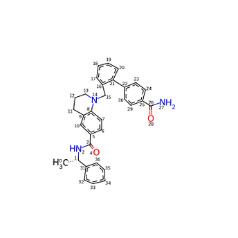 C[C@H](NC(=O)c1ccc2c(c1)CCCN2Cc1ccccc1-c1ccc(C(N)=O)cc1)c1ccccc1